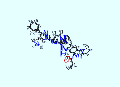 C=CC(=O)Nc1cc(Nc2nccc(-n3cc(CN(C)C)c(-c4ccccc4)n3)n2)c(OC)cc1N1CCCC1